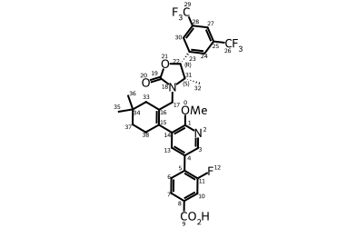 COc1ncc(-c2ccc(C(=O)O)cc2F)cc1C1=C(CN2C(=O)O[C@H](c3cc(C(F)(F)F)cc(C(F)(F)F)c3)[C@@H]2C)CC(C)(C)CC1